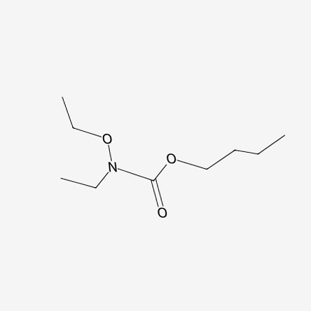 CCCCOC(=O)N(CC)OCC